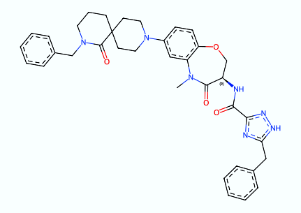 CN1C(=O)[C@H](NC(=O)c2n[nH]c(Cc3ccccc3)n2)COc2ccc(N3CCC4(CCCN(Cc5ccccc5)C4=O)CC3)cc21